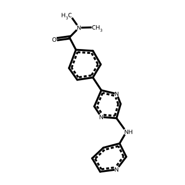 CN(C)C(=O)c1ccc(-c2cnc(Nc3cccnc3)cn2)cc1